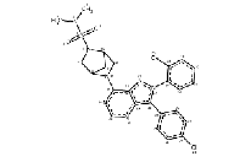 CN(C)S(=O)(=O)N1CC2CC1CN2c1ncnc2c(-c3ccc(Cl)cc3)n(-c3ccccc3Cl)nc12